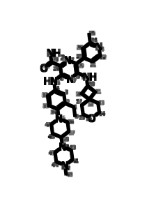 CCc1cc(Nc2nc(NC3CC4(CCOCC4)C3)c(-c3ccnc(C)c3)nc2C(N)=O)ccc1N1CCC(N2CCN(C)CC2)CC1